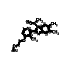 CCC(C)OCCOc1ccnc(-c2nc3cc(C)c(C)cc3n2[S+](C)[O-])c1C.[Na]